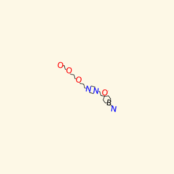 COC1(CCN2CCN(CCCOCCCOCC=O)CC2)CCB(C#N)CC1